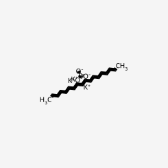 CCCCCCCCCCCCCCCCCC.[K+].[K+].[K+].[O-]B([O-])[O-]